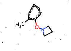 Cc1ccc[c]c1ON1CCC1